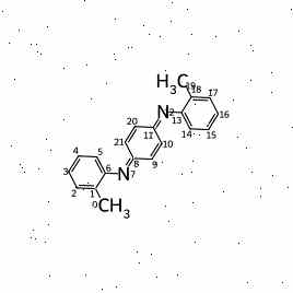 Cc1ccccc1N=C1C=CC(=Nc2ccccc2C)C=C1